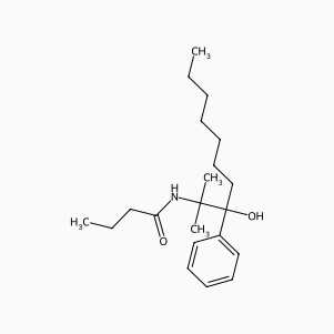 CCCCCCCC(O)(c1ccccc1)C(C)(C)NC(=O)CCC